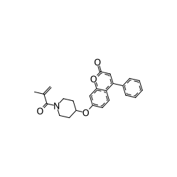 C=C(C)C(=O)N1CCC(Oc2ccc3c(-c4ccccc4)cc(=O)oc3c2)CC1